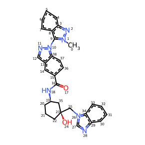 Cn1nc2ccccc2c1-n1ncc2cc(C(=O)N[C@@H]3CCC[C@@](O)(Cn4cnc5ccccc54)C3)ccc21